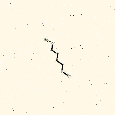 CCC(C)OCCCCO[C@@H](C)CC